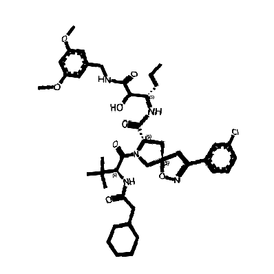 CCC[C@H](NC(=O)[C@@H]1C[C@]2(CC(c3cccc(Cl)c3)=NO2)CN1C(=O)[C@@H](NC(=O)CC1CCCCC1)C(C)(C)C)C(O)C(=O)NCc1cc(OC)cc(OC)c1